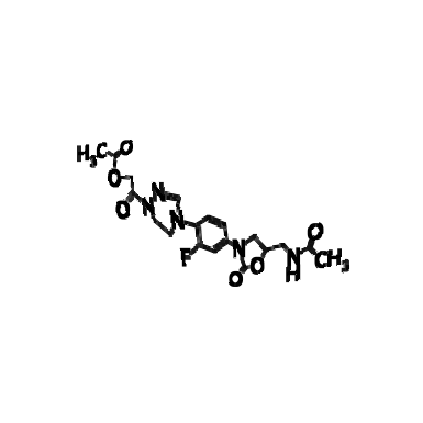 CC(=O)NCC1CN(c2ccc(N3C=NN(C(=O)COC(C)=O)CC3)c(F)c2)C(=O)O1